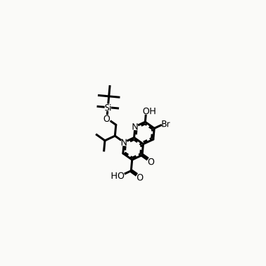 CC(C)C(CO[Si](C)(C)C(C)(C)C)n1cc(C(=O)O)c(=O)c2cc(Br)c(O)nc21